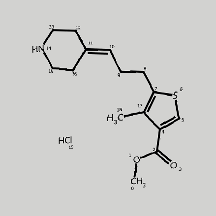 COC(=O)c1csc(CCC=C2CCNCC2)c1C.Cl